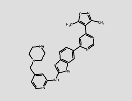 Cc1noc(C)c1-c1cc(-c2ccc3nc(Nc4cc(CN5CCNCC5)ccn4)[nH]c3c2)ncn1